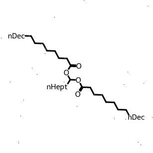 CCCCCCCCCCCCCCCCCC(=O)OC(CCCCCCC)OC(=O)CCCCCCCCCCCCCCCCC